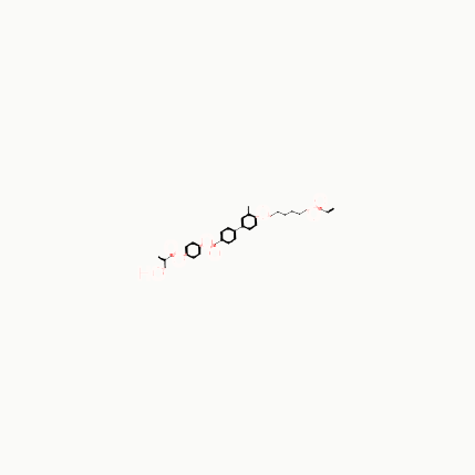 C=CC(=O)OCCCCCCOc1ccc(-c2ccc(C(=O)Oc3ccc(OC(=O)C(=C)CO)cc3)cc2)cc1C